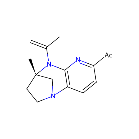 C=C(C)N1c2nc(C(C)=O)ccc2N2CC[C@@]1(C)C2